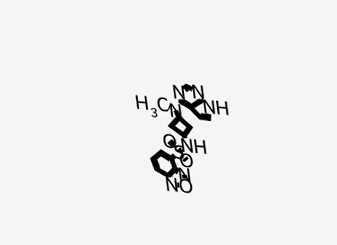 CN(c1ncnc2[nH]ccc12)C1CC(NS(=O)(=O)c2cccc3nonc23)C1